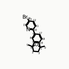 CC12CCC(C)(O1)c1cc(-c3ccc(Br)cn3)ccc12